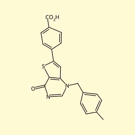 Cc1ccc(Cn2cnc(=O)c3sc(-c4ccc(C(=O)O)cc4)cc32)cc1